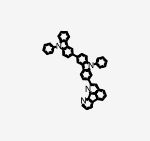 c1ccc(-n2c3ccccc3c3cc(-c4ccc5c(c4)c4ccc(-c6cc7cccc8c7c(n6)-c6ncccc6-8)cc4n5-c4ccccc4)ccc32)cc1